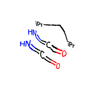 CC(C)CC(C)C.N=C=O.N=C=O